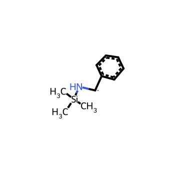 C[Si](C)(C)N[CH]c1ccccc1